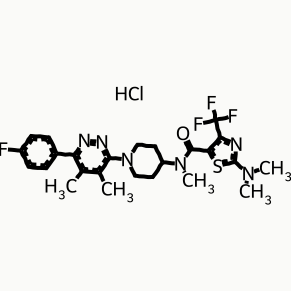 Cc1c(-c2ccc(F)cc2)nnc(N2CCC(N(C)C(=O)c3sc(N(C)C)nc3C(F)(F)F)CC2)c1C.Cl